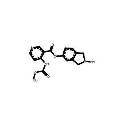 CCCN1Cc2ccc(OC(=O)c3cnccc3NC(=O)OC(C)(C)C)cc2C1